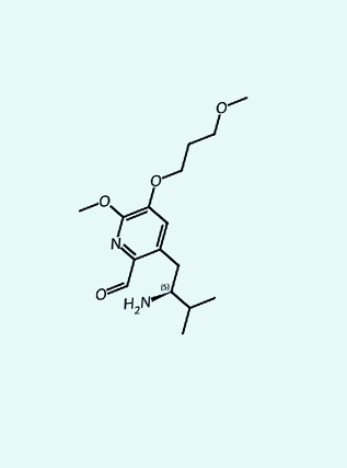 COCCCOc1cc(C[C@H](N)C(C)C)c(C=O)nc1OC